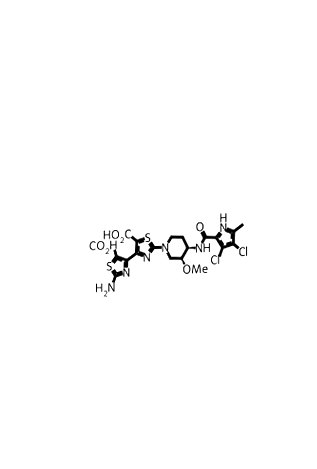 CO[C@H]1CN(c2nc(-c3nc(N)sc3C(=O)O)c(C(=O)O)s2)CC[C@H]1NC(=O)c1[nH]c(C)c(Cl)c1Cl